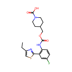 CCc1csc(-c2cc(F)ccc2NC(=O)OCC2CCN(C(=O)O)CC2)n1